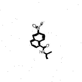 CC(C)NC(=O)c1cccc2cc([N+](=O)[O-])ccc12